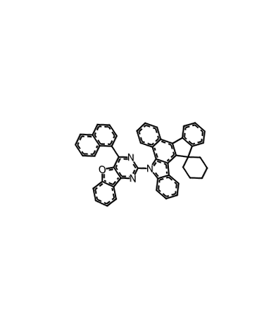 c1ccc2c(c1)-c1c(c3c4ccccc4n(-c4nc(-c5cccc6ccccc56)c5oc6ccccc6c5n4)c3c3ccccc13)C21CCCCC1